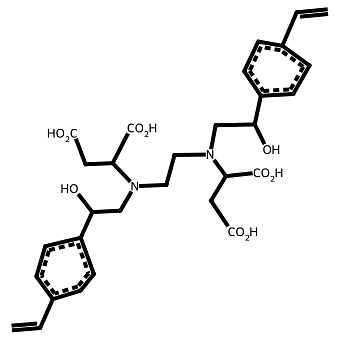 C=Cc1ccc(C(O)CN(CCN(CC(O)c2ccc(C=C)cc2)C(CC(=O)O)C(=O)O)C(CC(=O)O)C(=O)O)cc1